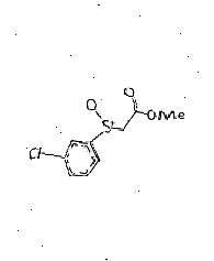 COC(=O)C[S+]([O-])c1cccc(Cl)c1